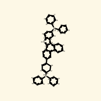 C1=C(c2ccc3c(c2)c2ccccc2c2c4cc(N(c5ccccc5)c5ccccc5)ccc4sc32)CCC(N(c2ccccc2)c2ccccc2)=C1